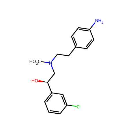 Nc1ccc(CCN(C[C@H](O)c2cccc(Cl)c2)C(=O)O)cc1